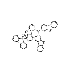 CC1(c2cccc3c2oc2cccc(N(c4ccc5c(c4)sc4ccccc45)c4ccc5c(c4)sc4ccccc45)c23)c2ccccc2-c2ccccc21